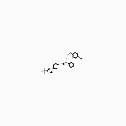 C[C@H](CNCC(C(=O)Nc1ccc(-n2cnc(C(C)(C)C)c2)cn1)c1ccccc1)c1ccc(C#N)cc1